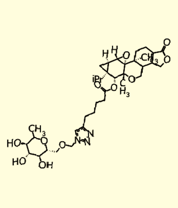 CC1O[C@H](COCn2cc(CCCCC(=O)O[C@@H]3[C@@]4(C(C)C)C[C@H]4[C@@H]4O[C@@]45[C@@]4(C)CCC6=C(COC6=O)C4CO[C@]35C)nn2)[C@@H](O)[C@H](O)[C@H]1O